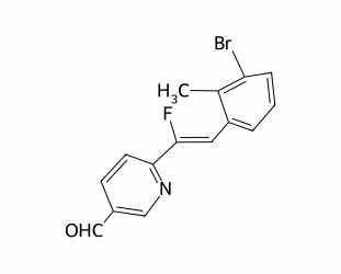 Cc1c(Br)cccc1/C=C(\F)c1ccc(C=O)cn1